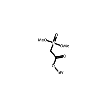 CCCOC(=O)CP(=O)(OC)OC